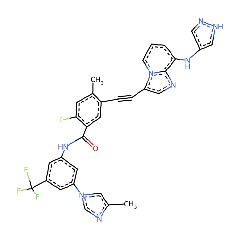 Cc1cn(-c2cc(NC(=O)c3cc(C#Cc4cnc5c(Nc6cn[nH]c6)cccn45)c(C)cc3F)cc(C(F)(F)F)c2)cn1